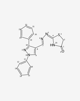 O=C1CS/C(=N/N=C/c2cn(-c3ccccc3)nc2-c2ccccc2)N1